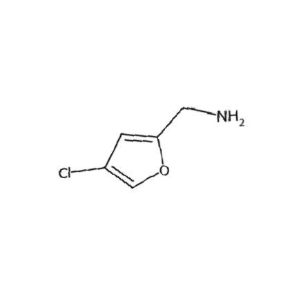 NCc1cc(Cl)co1